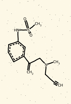 C#CCN(C)CC(=C)c1cccc(NS(C)(=O)=O)c1